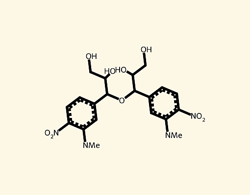 CNc1cc(C(OC(c2ccc([N+](=O)[O-])c(NC)c2)C(O)CO)C(O)CO)ccc1[N+](=O)[O-]